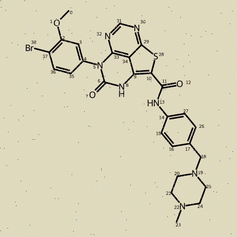 COc1cc(N2C(=O)Nc3c(C(=O)Nc4ccc(CN5CCN(C)CC5)cc4)sc4ncnc2c34)ccc1Br